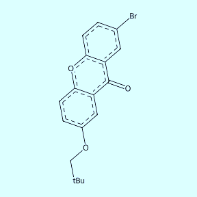 CC(C)(C)COc1ccc2oc3ccc(Br)cc3c(=O)c2c1